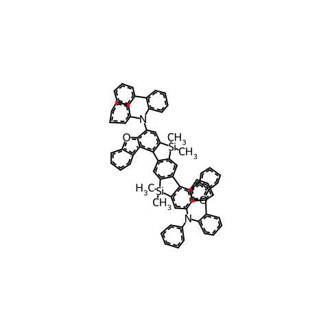 C[Si]1(C)c2cc3c(cc2-c2c1cc(N(c1ccccc1)c1ccccc1-c1ccccc1)c1oc4ccccc4c21)[Si](C)(C)c1cc(N(c2ccccc2)c2ccccc2-c2ccccc2)c2oc4ccccc4c2c1-3